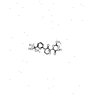 CC(=O)OC(C(=O)O)[C@H]1OCCN(c2cccc(C(C)(C)O)n2)C1=O